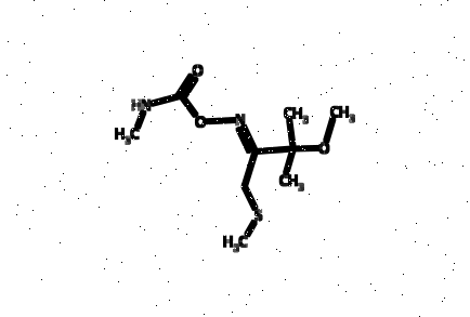 CNC(=O)ON=C(CSC)C(C)(C)OC